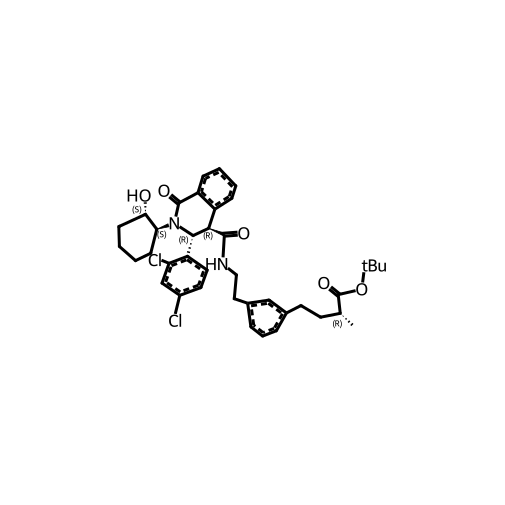 C[C@H](CCc1cccc(CCNC(=O)[C@@H]2c3ccccc3C(=O)N([C@H]3CCCC[C@@H]3O)[C@H]2c2ccc(Cl)cc2Cl)c1)C(=O)OC(C)(C)C